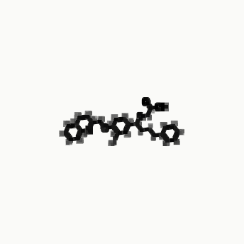 O=C(O)CSC(CCCc1ccccc1)c1ccc(OCc2ccc3ccccc3n2)c(I)c1